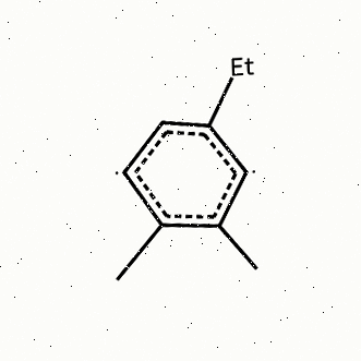 CCc1[c]c(C)c(C)[c]c1